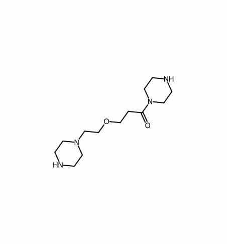 O=C(CCOCCN1CCNCC1)N1CCNCC1